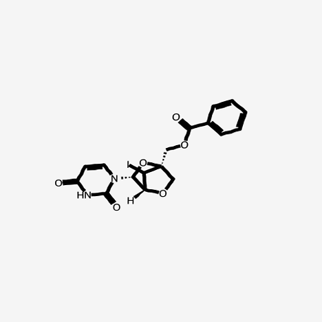 O=C(OC[C@]12CO[C@@H](C1I)[C@H](n1ccc(=O)[nH]c1=O)O2)c1ccccc1